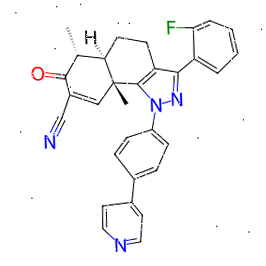 C[C@H]1C(=O)C(C#N)=C[C@@]2(C)c3c(c(-c4ccccc4F)nn3-c3ccc(-c4ccncc4)cc3)CC[C@H]12